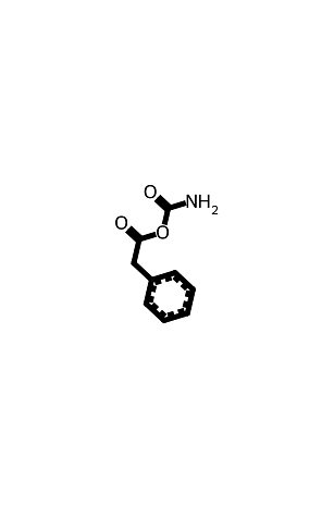 NC(=O)OC(=O)Cc1ccccc1